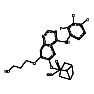 C=CC(=O)N1C2CC(Oc3cc4c(Nc5ccc(Cl)c(Cl)c5F)ncnc4cc3OCCCO)CC1C2